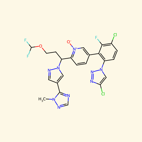 Cn1ncnc1-c1cnn(C(CCOC(F)F)c2ccc(-c3c(-n4cc(Cl)nn4)ccc(Cl)c3F)c[n+]2[O-])c1